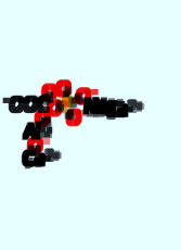 O=C([O-])[O-].O=P([O-])([O-])[O-].[Ca+2].[Ca+2].[Na+].[Na+].[O]=[Al][O-]